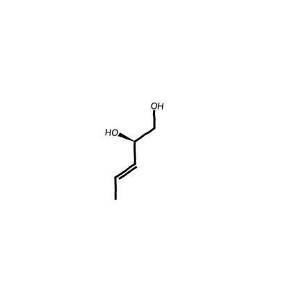 C/C=C/[C@@H](O)CO